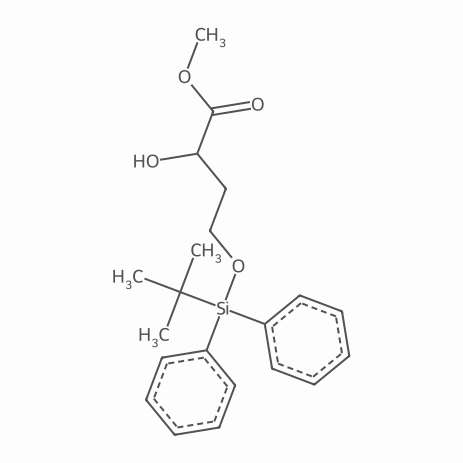 COC(=O)C(O)CCO[Si](c1ccccc1)(c1ccccc1)C(C)(C)C